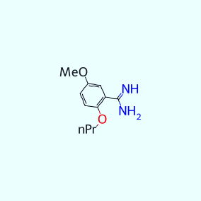 CCCOc1ccc(OC)cc1C(=N)N